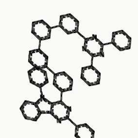 c1ccc(-c2nc(-c3ccccc3)nc(-c3cccc(-c4cccc(-c5cccc(-c6cccc(-c7nc(-c8ccccc8)nc8c9ccccc9n(-c9ccccc9)c78)c6)c5)c4)c3)n2)cc1